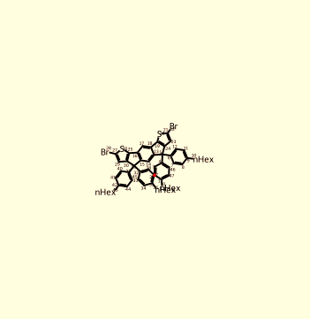 CCCCCCc1ccc(C2(c3ccc(CCCCCC)cc3)c3cc4c(cc3-c3sc(Br)cc32)-c2sc(Br)cc2C4(c2ccc(CCCCCC)cc2)c2ccc(CCCCCC)cc2)cc1